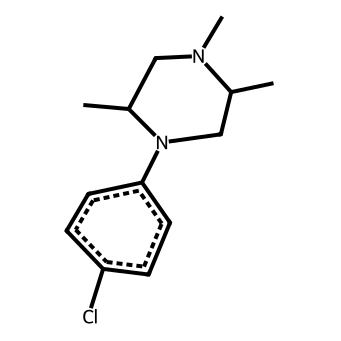 CC1CN(c2ccc(Cl)cc2)C(C)CN1C